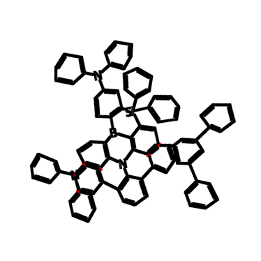 c1ccc(-c2cc(-c3ccccc3)cc(-c3cc4c5c(c3)[Si](c3ccccc3)(c3ccccc3)c3cc(N(c6ccccc6)c6ccccc6)ccc3B5c3ccc(N(c5ccccc5)c5ccccc5)cc3N4c3c(-c4ccccc4)cccc3-c3ccccc3)c2)cc1